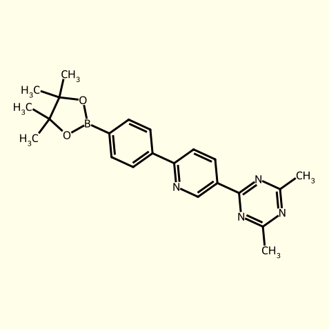 Cc1nc(C)nc(-c2ccc(-c3ccc(B4OC(C)(C)C(C)(C)O4)cc3)nc2)n1